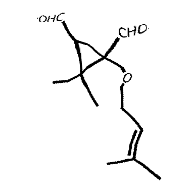 CC(C)=CCOC1([C]=O)C([C]=O)C1(C)C